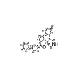 O=C(c1cnn(-c2ccc(F)cc2)c1C1CCNCC1)N1CC[C@H](c2ccccc2)C1